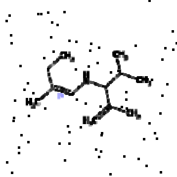 C=C(C)C(N/C=C(/C)CC)C(C)C